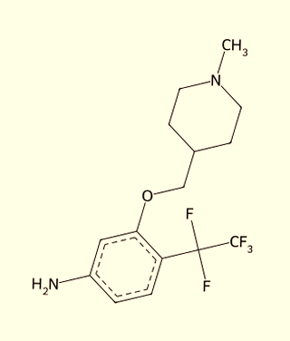 CN1CCC(COc2cc(N)ccc2C(F)(F)C(F)(F)F)CC1